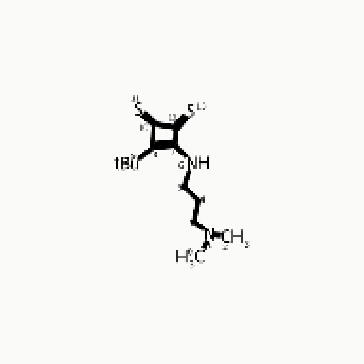 CN(C)CCCNc1c(C(C)(C)C)c(=S)c1=S